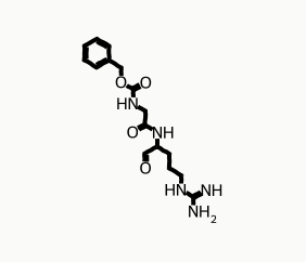 N=C(N)NCCCC(C=O)NC(=O)CNC(=O)OCc1ccccc1